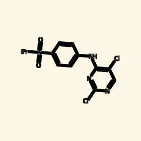 CC(C)S(=O)(=O)c1ccc(Nc2nc(Cl)ncc2Cl)cc1